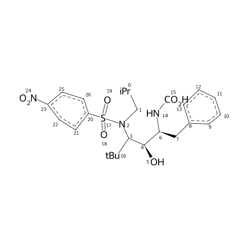 CC(C)CN(C([C@H](O)[C@H](Cc1ccccc1)NC(=O)O)C(C)(C)C)S(=O)(=O)c1ccc([N+](=O)[O-])cc1